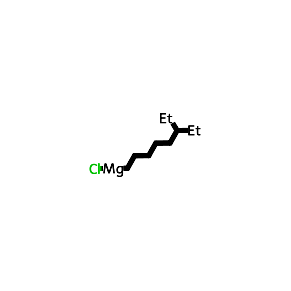 CCC(CC)CCCC[CH2][Mg][Cl]